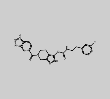 O=C(NCCc1cccc(Cl)c1)Oc1[nH]nc2c1CCN(C(=O)c1ccc3[nH]nnc3c1)C2